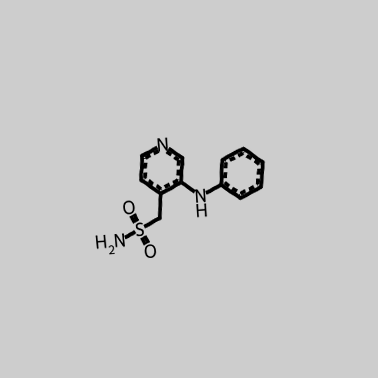 NS(=O)(=O)Cc1ccncc1Nc1ccccc1